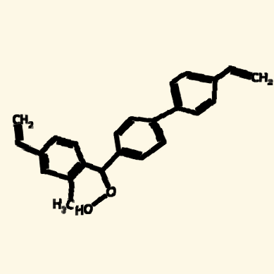 C=Cc1ccc(-c2ccc(C(OO)c3ccc(C=C)cc3C)cc2)cc1